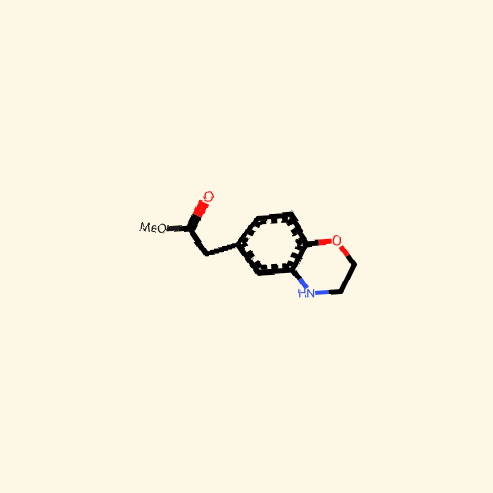 COC(=O)Cc1ccc2c(c1)NCCO2